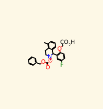 Cc1cccc2c1CCN(OC(=O)OCc1ccccc1)C2c1cc(F)ccc1OCC(=O)O